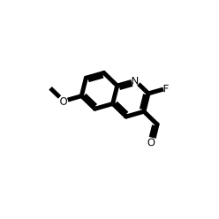 COc1ccc2nc(F)c(C=O)cc2c1